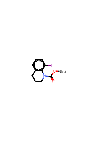 CC(C)(C)OC(=O)N1CCCc2cccc(I)c21